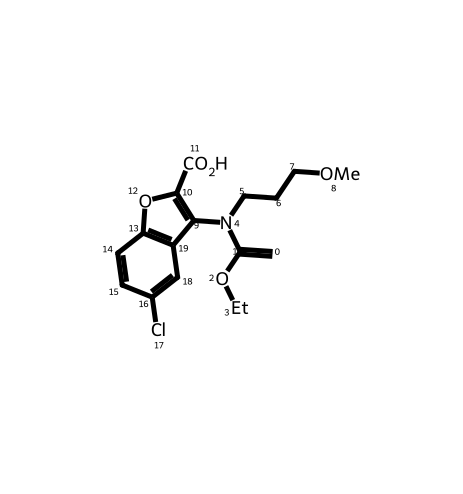 C=C(OCC)N(CCCOC)c1c(C(=O)O)oc2ccc(Cl)cc12